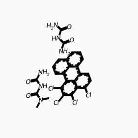 CN(C)C(=O)NC(N)=O.Clc1c(Cl)c2c(Cl)ccc3c4cccc5cccc(c(c1Cl)c23)c54.NC(=O)NC(N)=O